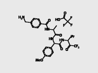 COc1ccc(C(NC(=O)C(C)NC(=O)c2ccc(CN)cc2)C(=O)NC(C(=O)C(F)(F)F)C(C)C)cc1.O=C(O)C(F)(F)F